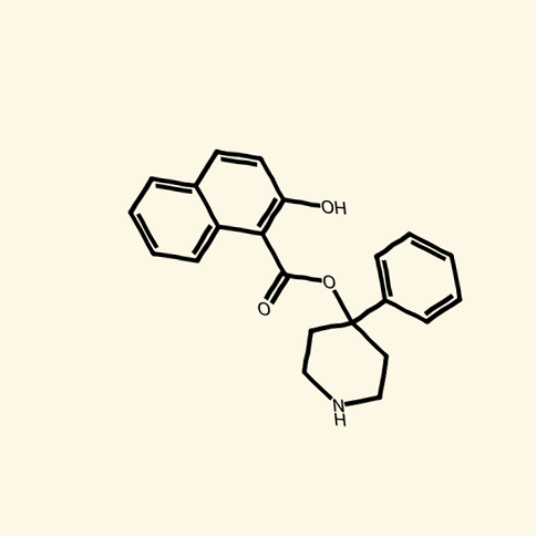 O=C(OC1(c2ccccc2)CCNCC1)c1c(O)ccc2ccccc12